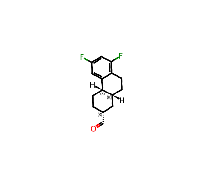 O=C[C@@H]1CC[C@@H]2c3cc(F)cc(F)c3CC[C@@H]2C1